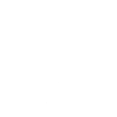 BrC1=CC(c2cccc(-c3ccccc3)c2)CC=C1